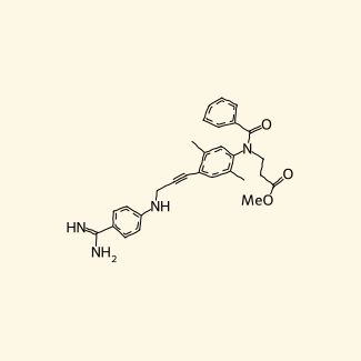 COC(=O)CCN(C(=O)c1ccccc1)c1cc(C)c(C#CCNc2ccc(C(=N)N)cc2)cc1C